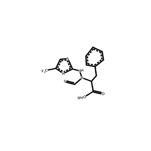 COC(=O)C(Cc1ccccc1)N(C=S)Nc1nc(C(F)(F)F)cs1